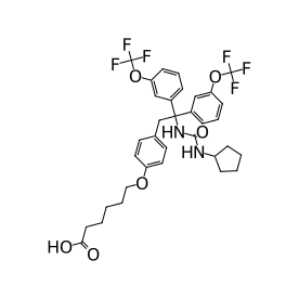 O=C(O)CCCCCOc1ccc(CC(NC(=O)NC2CCCC2)(c2cccc(OC(F)(F)F)c2)c2cccc(OC(F)(F)F)c2)cc1